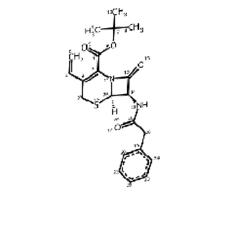 C=CC1=C(C(=O)OC(C)(C)C)N2C(=O)[C@@H](NC(=O)Cc3ccccc3)[C@H]2SC1